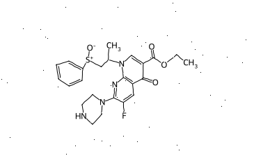 CCOC(=O)c1cn(C(C)C[S+]([O-])c2ccccc2)c2nc(N3CCNCC3)c(F)cc2c1=O